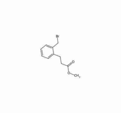 COC(=O)CCc1ccccc1CBr